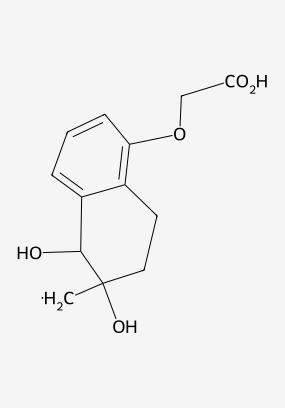 [CH2]C1(O)CCc2c(OCC(=O)O)cccc2C1O